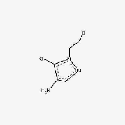 Nc1cnn(CCCl)c1Cl